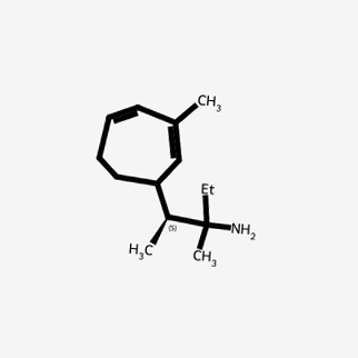 CCC(C)(N)[C@@H](C)C1C=C(C)C=CCC1